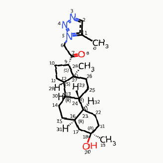 Cc1cnnn1CC(=O)[C@H]1CC[C@H]2[C@@H]3CC[C@@H]4C[C@](C)(O)CC[C@@H]4[C@H]3CC[C@]12C